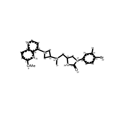 COc1ccc2nccc(N3CC(N(C)CC4CN(c5ccc(Br)c(C)c5)C(=O)O4)C3)c2n1